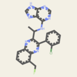 CC(Nc1ncnc2[nH]cnc12)c1nc2cccc(CF)c2nc1-c1ccccc1Cl